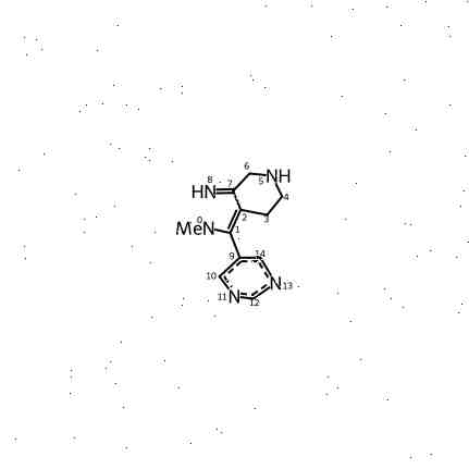 CN/C(=C1/CCNCC1=N)c1cncnc1